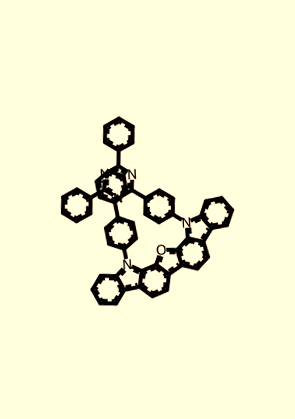 c1ccc(-c2ccc(-n3c4ccccc4c4ccc5c6ccc7c8ccccc8n(-c8ccc(-c9nc(-c%10ccccc%10)nc(-c%10ccccc%10)n9)cc8)c7c6oc5c43)cc2)cc1